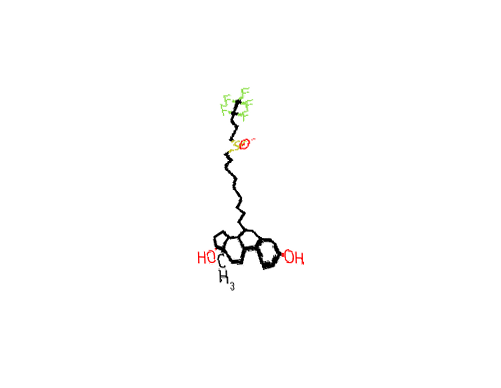 CC12CCC3c4ccc(O)cc4CC(CCCCCCCCC[S+]([O-])CCCC(F)(F)C(F)(F)F)C3C1CC[C@@H]2O